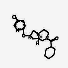 O=C(C1CCCCC1)N1CCN2C[C@H](Oc3ccc(Cl)cn3)C[C@H]2C1